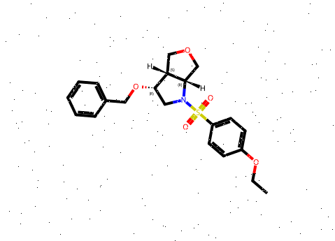 CCOc1ccc(S(=O)(=O)N2C[C@H](OCc3ccccc3)[C@@H]3COC[C@@H]32)cc1